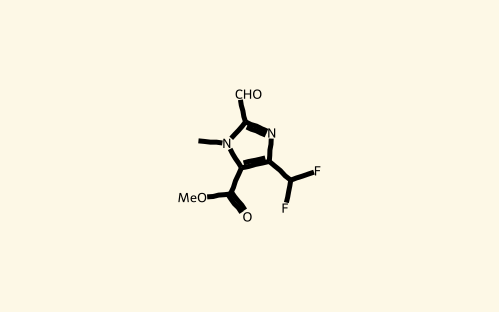 COC(=O)c1c(C(F)F)nc(C=O)n1C